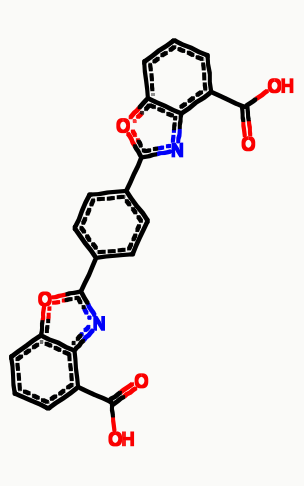 O=C(O)c1cccc2oc(-c3ccc(-c4nc5c(C(=O)O)cccc5o4)cc3)nc12